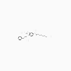 CCCCCCCC(=O)Nc1ccc2c(c1)nc(N)n2CCCc1ccccc1.Cl